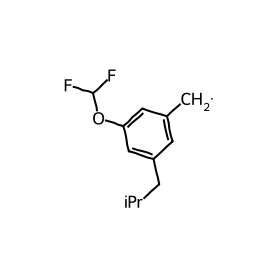 [CH2]c1cc(CC(C)C)cc(OC(F)F)c1